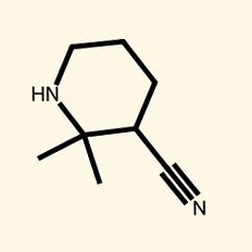 CC1(C)NCCCC1C#N